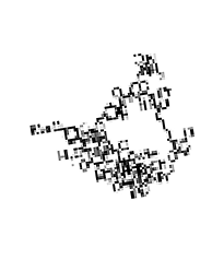 CC[C@H](C)C([C@@H](CC(=O)N1C[C@@H](O)C[C@H]1[C@H](OC)[C@@H](C)C(=O)N[C@H](C)C(NC(=O)OCc1ccc(NC(=O)C(CCCNC(N)=O)NC(=O)[C@@H](NC(=O)CCCCCN2C(=O)C=CC2=O)C(C)C)cc1)c1ccc(OC)cc1)OC)N(C)C(=O)[C@@H](NC(=O)[C@H](C(C)C)N(C)C)C(C)C